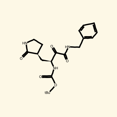 CC(C)(C)OC(=O)N[C@@H](C[C@@H]1CCNC1=O)C(=O)C(=O)NCc1ccccc1